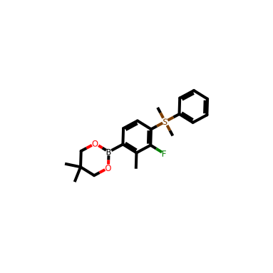 Cc1c(B2OCC(C)(C)CO2)ccc(S(C)(C)c2ccccc2)c1F